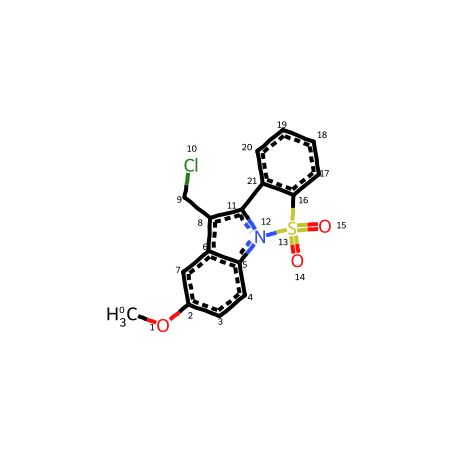 COc1ccc2c(c1)c(CCl)c1n2S(=O)(=O)c2ccccc2-1